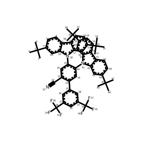 CC(C)(C)c1ccc2c3ccc(C(C)(C)C)cc3n(-c3cc(C#N)c(-c4cc(C(F)(F)F)cc(C(F)(F)F)c4)cc3-n3c4cc(C(C)(C)C)ccc4c4ccc(C(C)(C)C)cc43)c2c1